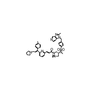 Cc1ccc(/C(=C\CN2CCCC2)c2cccc(C=CC(=O)NC[C@H](CC(C)C)N(C)S(=O)(=O)c3ccc(Cn4c(C)nc5cnccc54)cc3)n2)cc1